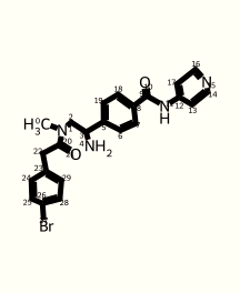 CN(CC(N)c1ccc(C(=O)Nc2ccncc2)cc1)C(=O)Cc1ccc(Br)cc1